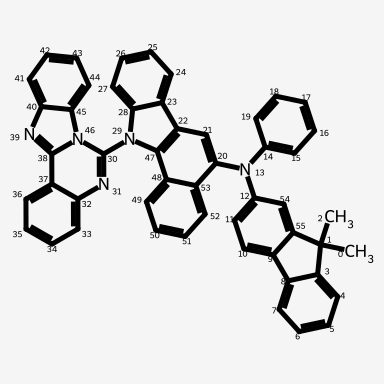 CC1(C)c2ccccc2-c2ccc(N(c3ccccc3)c3cc4c5ccccc5n(-c5nc6ccccc6c6nc7ccccc7n56)c4c4ccccc34)cc21